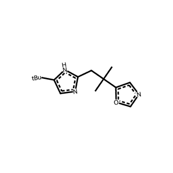 CC(C)(C)c1cnc(CC(C)(C)c2cnco2)[nH]1